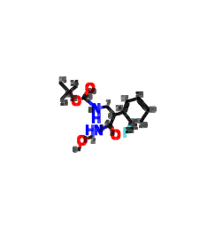 COCNC(=O)C(CNC(=O)OC(C)(C)C)c1ccccc1F